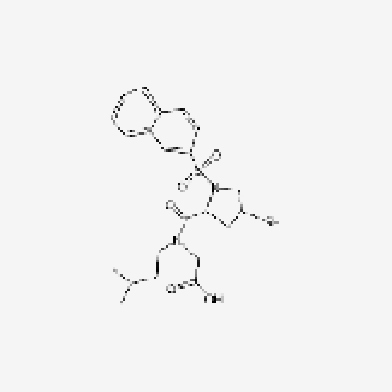 CC(C)CCN(CC(=O)O)C(=O)C1CC(S)CN1S(=O)(=O)c1ccc2ccccc2c1